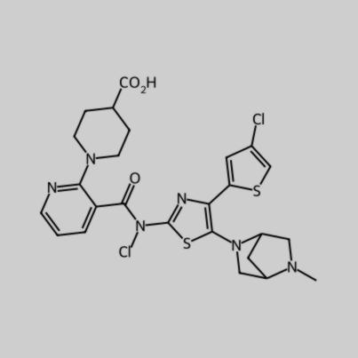 CN1CC2CC1CN2c1sc(N(Cl)C(=O)c2cccnc2N2CCC(C(=O)O)CC2)nc1-c1cc(Cl)cs1